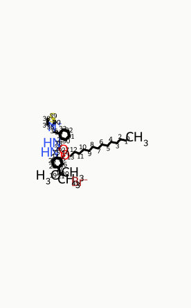 CCCCCCCCCCCCCCOc1cc(C(C)(C)C)ccc1NC(=O)Nc1ccccc1C[n+]1ccsc1.[Br-]